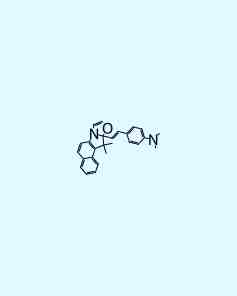 CN(C)c1ccc(C=CC23OC=CN2c2ccc4ccccc4c2C3(C)C)cc1